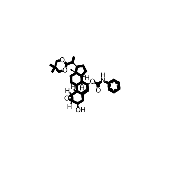 CC(C1OCC(C)(C)CO1)[C@H]1CC[C@H]2[C@@H]3[C@H](OC(=O)Nc4ccccc4)C=C4C[C@@H](O)[C@@H]5O[C@@H]5[C@]4(C)[C@H]3CC[C@]12C